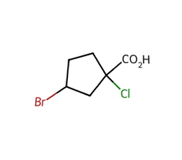 O=C(O)C1(Cl)CCC(Br)C1